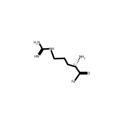 N=C(N)NCCC[C@H](N)[C](=O)[Fe]